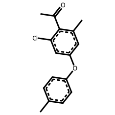 CC(=O)c1c(C)cc(Oc2ccc(C)cc2)cc1Cl